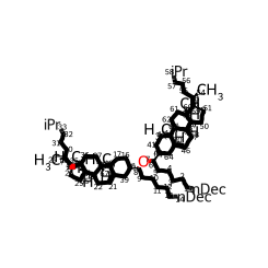 CCCCCCCCCCCCCCCC(OC(CCCCCCCCCCCCCCC)[C@H]1CC[C@@]2(C)C(=CC[C@H]3[C@@H]4CC[C@H]([C@H](C)CCCC(C)C)[C@@]4(C)CC[C@@H]32)C1)[C@H]1CC[C@@]2(C)C(=CC[C@H]3[C@@H]4CC[C@H]([C@H](C)CCCC(C)C)[C@@]4(C)CC[C@@H]32)C1